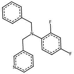 Fc1ccc(N(Cc2ccccc2)Cc2cccnc2)c(F)c1